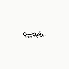 CCCCCC1CCCCC1CCCOc1ccc(C(=O)Oc2ccc(CC)cc2F)cc1